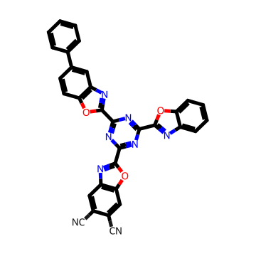 N#Cc1cc2nc(-c3nc(-c4nc5ccccc5o4)nc(-c4nc5cc(-c6ccccc6)ccc5o4)n3)oc2cc1C#N